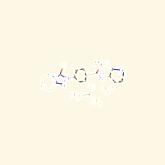 COc1nccc(C)c1NC(=O)c1cc(F)c(-n2nc3n(c2=O)CCOC3)cc1OC(C)C(F)(F)F